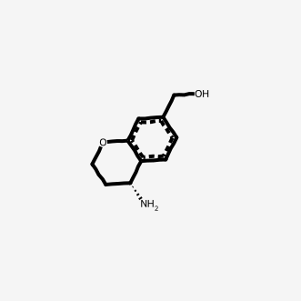 N[C@@H]1CCOc2cc(CO)ccc21